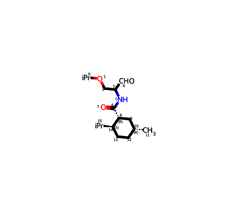 CC(C)OCC(C=O)NC(=O)[C@@H]1C[C@H](C)CC[C@H]1C(C)C